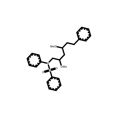 COC(CCc1ccccc1)CC(CN(c1ccccc1)S(=O)(=O)c1ccccc1)OC